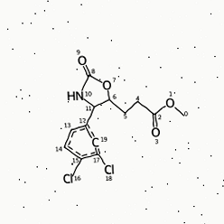 COC(=O)CCC1OC(=O)NC1c1ccc(Cl)c(Cl)c1